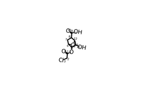 O=C(CCl)OC1C2CC(C(=O)O)C(O2)C1O